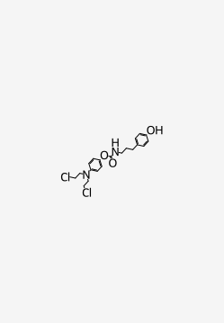 O=C(NCCCc1ccc(O)cc1)Oc1ccc(N(CCCl)CCCl)cc1